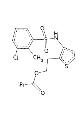 Cc1c(Cl)cccc1S(=O)(=O)Nc1ccsc1CCOC(=O)C(C)C